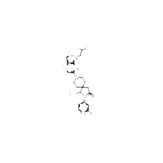 CCC1N(c2ccnc(C(F)(F)F)c2)C(=O)CC12CCN(c1cnc3cnn(CC(F)F)c3n1)CC2